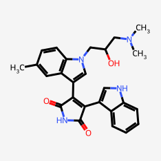 Cc1ccc2c(c1)c(C1=C(c3c[nH]c4ccccc34)C(=O)NC1=O)cn2CC(O)CN(C)C